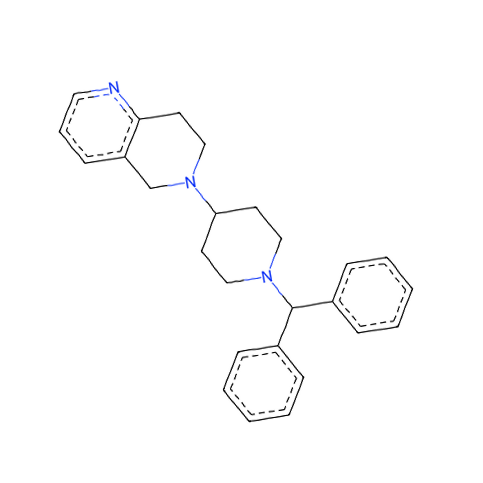 c1ccc(C(c2ccccc2)N2CCC(N3CCc4ncccc4C3)CC2)cc1